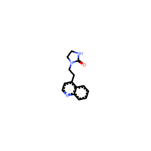 O=C1NCCN1CCc1ccnc2ccccc12